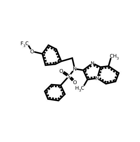 Cc1cccn2c(C)c(N(Cc3ccc(OC(F)(F)F)cc3)S(=O)(=O)c3ccccc3)nc12